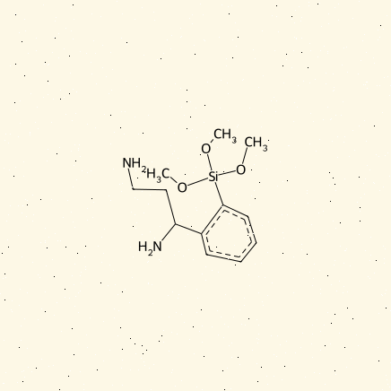 CO[Si](OC)(OC)c1ccccc1C(N)CCN